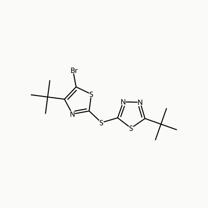 CC(C)(C)c1nnc(Sc2nc(C(C)(C)C)c(Br)s2)s1